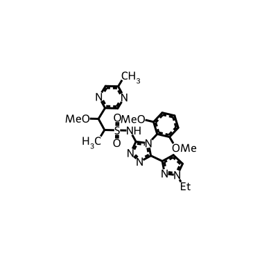 CCn1ccc(-c2nnc(NS(=O)(=O)C(C)C(OC)c3cnc(C)cn3)n2-c2c(OC)cccc2OC)n1